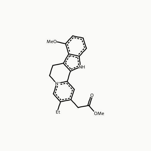 CCc1c[n+]2c(cc1CC(=O)OC)-c1[nH]c3cccc(OC)c3c1CC2